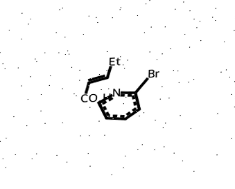 Brc1ccccn1.CCC=CC(=O)O